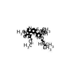 CCOC[C@H]1C[C@]2(C1)C(=O)N(C)c1cnc3cc(F)c(-c4cnc(OCCNC(C)C)c(NS(C)(=O)=O)c4)cc3c12